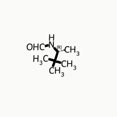 C[C@@H](NC=O)C(C)(C)C